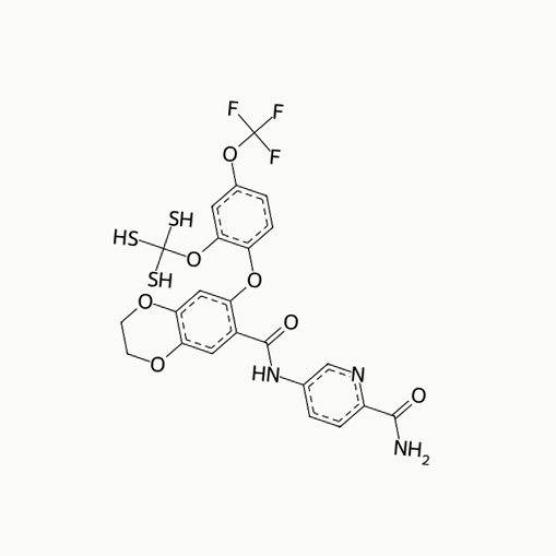 NC(=O)c1ccc(NC(=O)c2cc3c(cc2Oc2ccc(OC(F)(F)F)cc2OC(S)(S)S)OCCO3)cn1